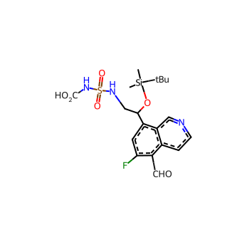 CC(C)(C)[Si](C)(C)OC(CNS(=O)(=O)NC(=O)O)c1cc(F)c(C=O)c2ccncc12